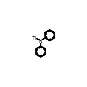 [Ti][N](c1ccccc1)c1ccccc1